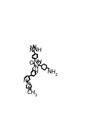 CN1CCN(c2cc(-c3cccc(C[C@H](NC(=O)C4CCC(CN)CC4)C(=O)Nc4ccc(-c5nnn[nH]5)cc4)c3)ccn2)CC1